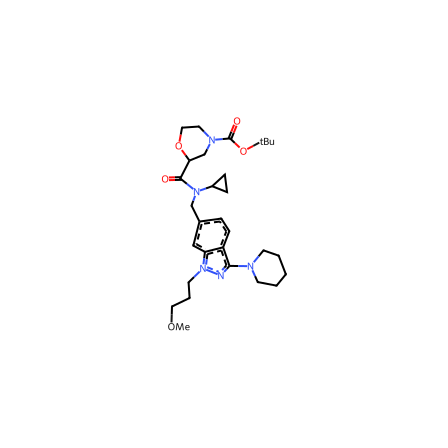 COCCCn1nc(N2CCCCC2)c2ccc(CN(C(=O)C3CN(C(=O)OC(C)(C)C)CCO3)C3CC3)cc21